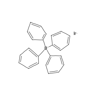 [Ir].c1ccc([B-](c2ccccc2)(c2ccccc2)c2ccccc2)cc1